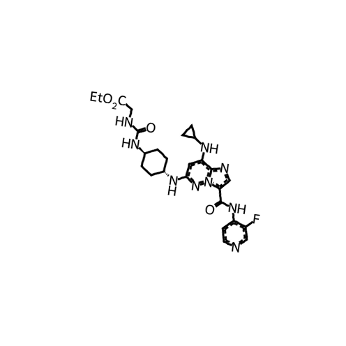 CCOC(=O)CNC(=O)N[C@H]1CC[C@H](Nc2cc(NC3CC3)c3ncc(C(=O)Nc4ccncc4F)n3n2)CC1